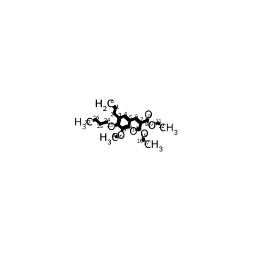 C=CCc1cc(C=C(C(=O)OCC)C(=O)OCC)cc(OC)c1OCCCC